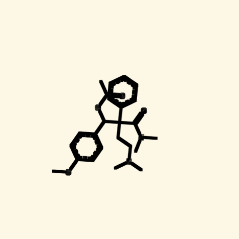 COc1ccc(C(OC(C)=O)C(CCN(C)C)(C(=O)N(C)C)c2ccccc2)cc1